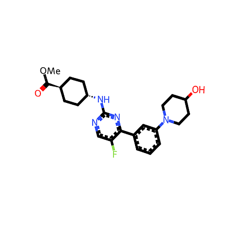 COC(=O)[C@H]1CC[C@H](Nc2ncc(F)c(-c3cccc(N4CCC(O)CC4)c3)n2)CC1